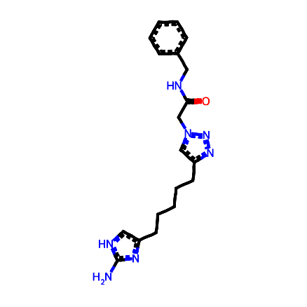 Nc1nc(CCCCCc2cn(CC(=O)NCc3ccccc3)nn2)c[nH]1